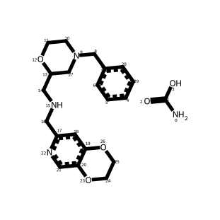 NC(=O)O.c1ccc(CN2CCOC(CNCc3cc4c(cn3)OCCO4)C2)cc1